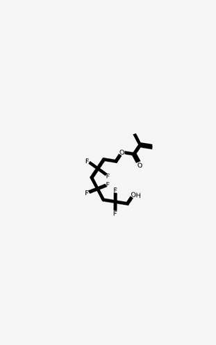 C=C(C)C(=O)OCCC(F)(F)CC(F)(F)CC(F)(F)CO